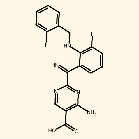 N=C(c1ncc(C(=O)O)c(N)n1)c1cccc(F)c1NCc1ccccc1F